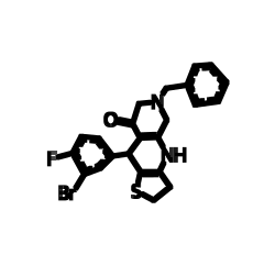 O=C1CN(Cc2ccccc2)CC2=C1C(c1ccc(F)c(Br)c1)C1=C(CCS1)N2